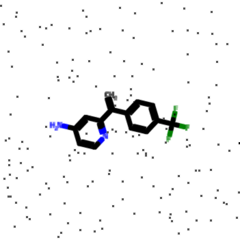 C=C(c1ccc(C(F)(F)F)cc1)c1cc(N)ccn1